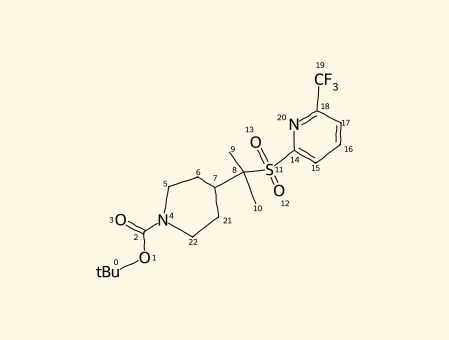 CC(C)(C)OC(=O)N1CCC(C(C)(C)S(=O)(=O)c2cccc(C(F)(F)F)n2)CC1